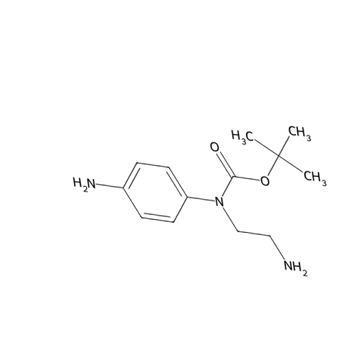 CC(C)(C)OC(=O)N(CCN)c1ccc(N)cc1